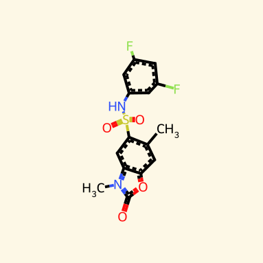 Cc1cc2oc(=O)n(C)c2cc1S(=O)(=O)Nc1cc(F)cc(F)c1